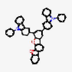 C1=C(C2=CC(c3ccc4c(c3)c3ccccc3n4-c3ccccc3)=CC3c4ccc5c(oc6ccccc65)c4OC23)CCc2c1c1ccccc1n2-c1ccccc1